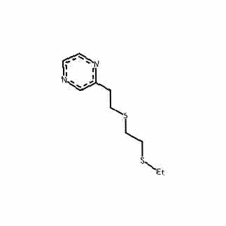 CCSCCSCCc1cnccn1